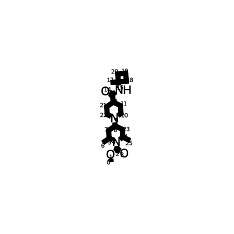 COC(=O)N1C(C)CC(N2CCC(C(=O)NC3(C)CCC3)CC2)CC1C